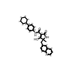 CC1(Cc2ccc3ncccc3c2)NC(=O)C(C(=O)Nc2ccc(C3CCCCC3)cc2)=C1O